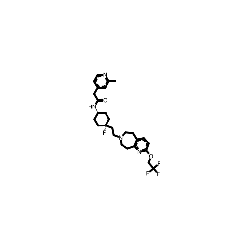 Cc1cc(CC(=O)N[C@H]2CC[C@](F)(CCN3CCc4ccc(OCC(F)(F)F)nc4CC3)CC2)ccn1